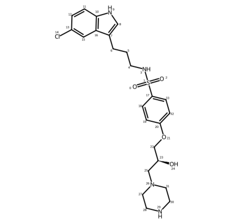 O=S(=O)(NCCCc1c[nH]c2ccc(Cl)cc12)c1ccc(OC[C@@H](O)CN2CCNCC2)cc1